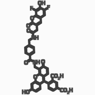 O=C(Cc1cc2cc(F)c(O)c(F)c2oc1=O)NCc1ccc(C(=O)NCc2c3oc4cc(O)ccc4c(-c4ccc(C(=O)O)cc4C(=O)O)c-3ccc2=O)cc1